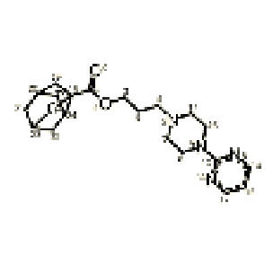 O=C(OCCCN1CCN(c2ncccn2)CC1)C12CC3CC(CC1C3)C2